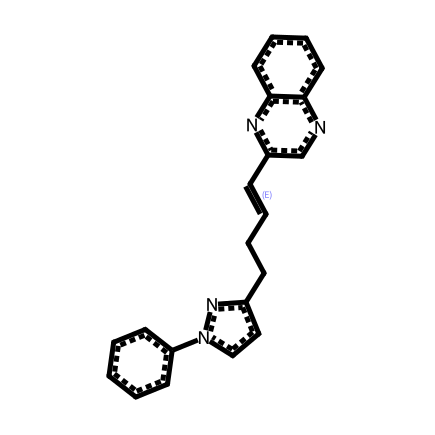 C(=C\c1cnc2ccccc2n1)/CCc1ccn(-c2ccccc2)n1